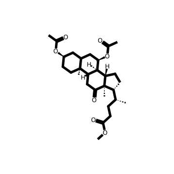 COC(=O)CC[C@@H](C)[C@H]1CC[C@H]2[C@@H]3[C@H](OC(C)=O)CC4C[C@H](OC(C)=O)CC[C@]4(C)[C@H]3CC(=O)[C@]12C